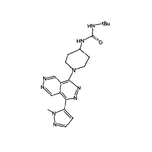 Cn1nccc1-c1nnc(N2CCC(NC(=O)NC(C)(C)C)CC2)c2cnncc12